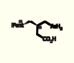 CCC[C@@H](C)C[C@H](C[AsH2])CC(=O)O